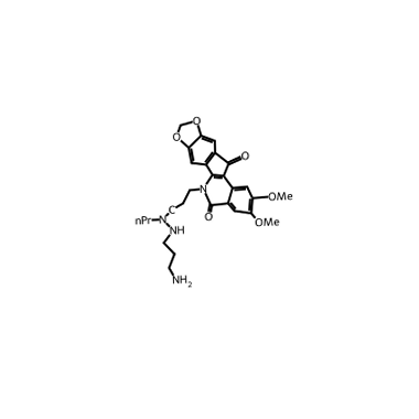 CCCN(CCCn1c2c(c3cc(OC)c(OC)cc3c1=O)C(=O)c1cc3c(cc1-2)OCO3)NCCCN